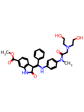 COC(=O)c1ccc2c(c1)NC(=O)/C2=C(\Nc1ccc(N(C)C(=O)CN(CCO)CCO)cc1)c1ccccc1